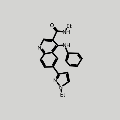 CCNC(=O)c1cnc2ccc(-c3ccn(CC)n3)cc2c1Nc1ccccc1